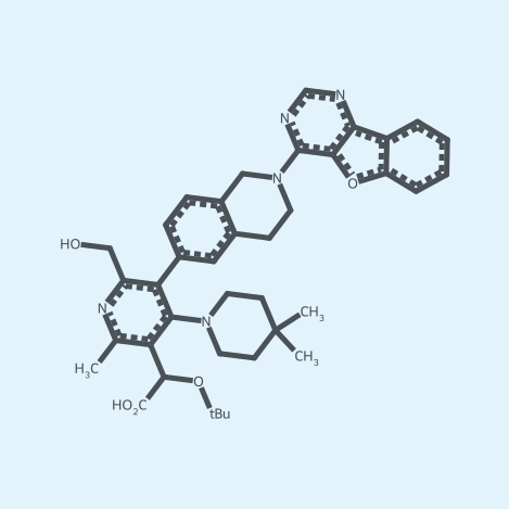 Cc1nc(CO)c(-c2ccc3c(c2)CCN(c2ncnc4c2oc2ccccc24)C3)c(N2CCC(C)(C)CC2)c1C(OC(C)(C)C)C(=O)O